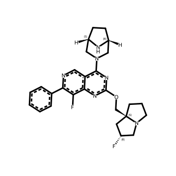 Fc1c(-c2ccccc2)ncc2c(N3C[C@H]4CC[C@@H](C3)N4)nc(OC[C@@]34CCCN3C[C@H](F)C4)nc12